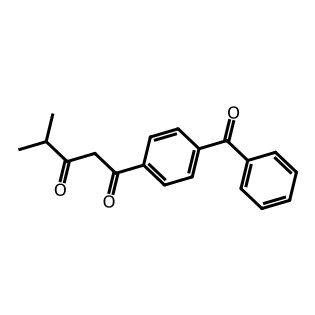 CC(C)C(=O)CC(=O)c1ccc(C(=O)c2ccccc2)cc1